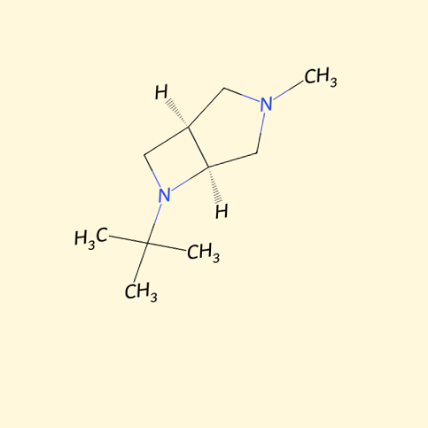 CN1C[C@@H]2CN(C(C)(C)C)[C@@H]2C1